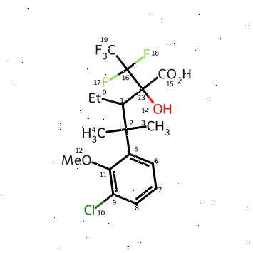 CCC(C(C)(C)c1cccc(Cl)c1OC)C(O)(C(=O)O)C(F)(F)C(F)(F)F